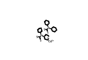 S=C([S-])N(c1ccccc1)c1ccccc1.S=C([S-])N(c1ccccc1)c1ccccc1.[Cd+2]